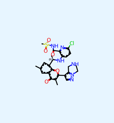 Cc1cc([C@@H](C)Nc2ccc(Cl)nc2C(=O)NS(C)(=O)=O)c2oc(-c3cnn4c3CNCC4)c(C)c(=O)c2c1